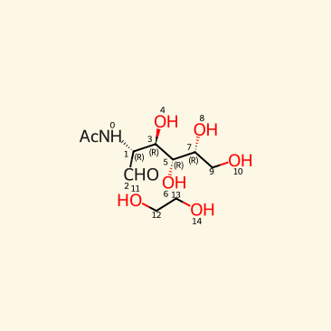 CC(=O)N[C@@H](C=O)[C@@H](O)[C@@H](O)[C@H](O)CO.OCCO